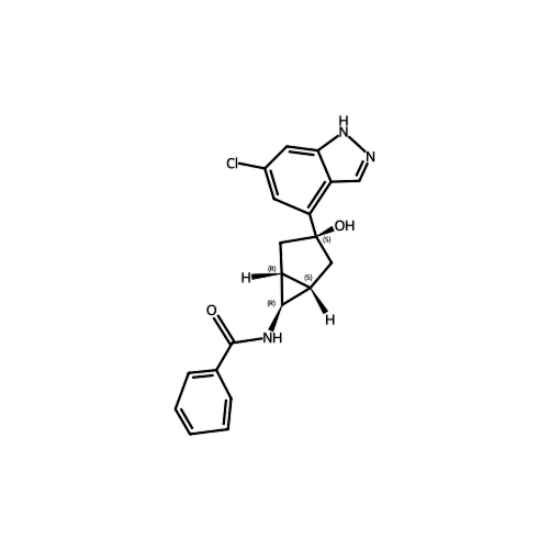 O=C(N[C@H]1[C@@H]2C[C@](O)(c3cc(Cl)cc4[nH]ncc34)C[C@@H]21)c1ccccc1